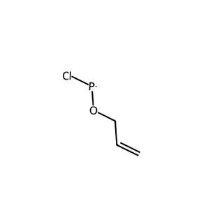 C=CCO[P]Cl